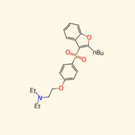 CCCCc1oc2ccccc2c1S(=O)(=O)c1ccc(OCCN(CC)CC)cc1